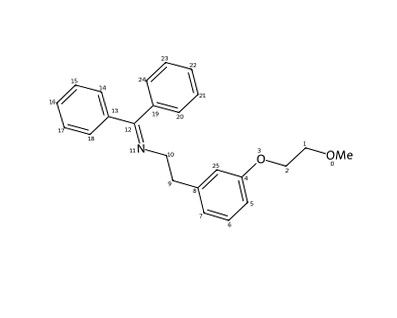 COCCOc1cccc(CCN=C(c2ccccc2)c2ccccc2)c1